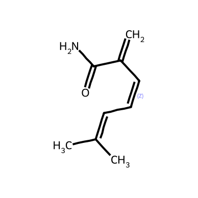 C=C(/C=C\C=C(C)C)C(N)=O